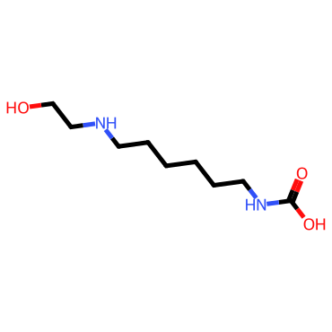 O=C(O)NCCCCCCNCCO